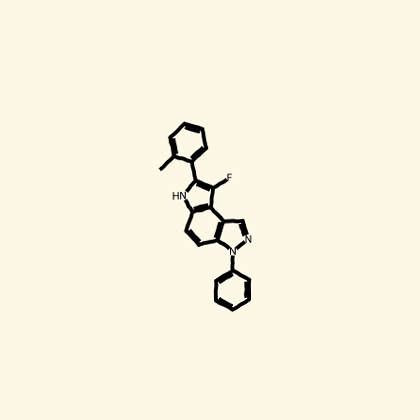 Cc1ccccc1-c1[nH]c2ccc3c(cnn3-c3ccccc3)c2c1F